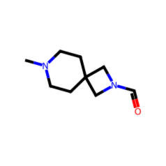 CN1CCC2(CC1)CN(C=O)C2